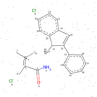 CC(C(N)=O)=[Si](C)C.[Cl-].[Cl-].[Ti+2][CH]1C(c2ccccc2)=Cc2ccccc21